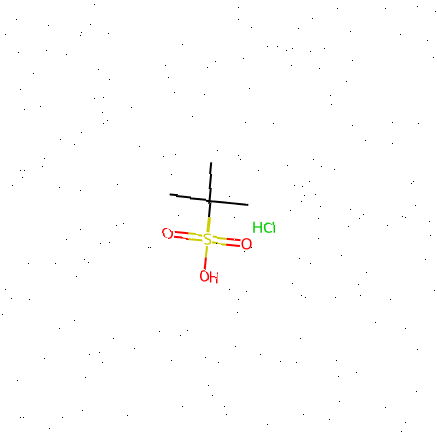 CC(C)(C)S(=O)(=O)O.Cl